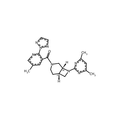 Cc1cnc(-n2nccn2)c(C(=O)N2CC[C@H]3CN(c4nc(C)cc(C)n4)[C@H]3C2)c1